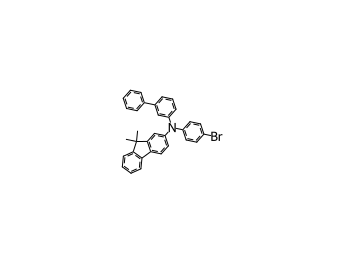 CC1(C)c2ccccc2-c2ccc(N(c3ccc(Br)cc3)c3cccc(-c4ccccc4)c3)cc21